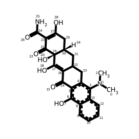 CN(C)c1c2c(c(O)c3ccccc13)C(=O)C1=C(O)[C@]3(O)C(=O)C(C(N)=O)=C(O)C[C@@H]3CC1C2